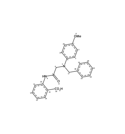 COc1ccc(N(CC(=O)Nc2ccccc2C(=O)O)Cc2ccccc2)cc1